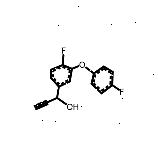 C#CC(O)c1ccc(F)c(Oc2ccc(F)cc2)c1